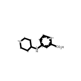 O=C(O)c1cc(NC2CCOCC2)ccn1